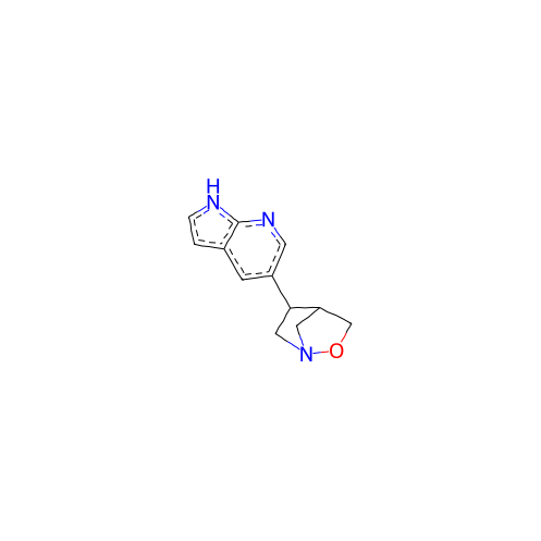 c1cc2cc(C3CN4CC3CO4)cnc2[nH]1